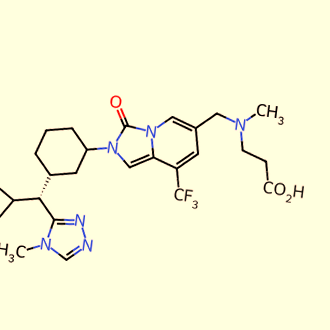 CN(CCC(=O)O)Cc1cc(C(F)(F)F)c2cn(C3CCCC([C@H](c4nncn4C)C4CCC4)C3)c(=O)n2c1